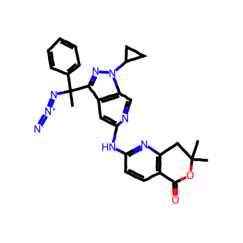 CC1(C)Cc2nc(Nc3cc4c(C(C)(N=[N+]=[N-])c5ccccc5)nn(C5CC5)c4cn3)ccc2C(=O)O1